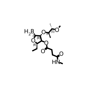 B[C@@H]1O[C@H](CC)C(OC(=O)CCC(=O)NC)[C@@H]1O[C@H](C)[C@H](C)OC